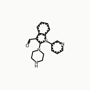 O=Cc1c(N2CCNCC2)n(-c2cccnc2)c2ccccc12